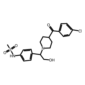 CS(=O)(=O)Nc1ccc(C(CO)N2CCC(C(=O)c3ccc(Cl)cc3)CC2)cc1